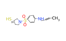 CC#CCNc1ccc(S(=O)(=O)N2CC[C@H](S)C2)cc1